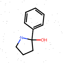 OC1(c2ccccc2)CCC[N]1